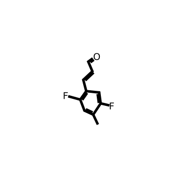 Cc1cc(F)c(C=CC=O)cc1F